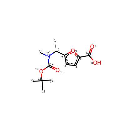 C[C@H](c1ccc(C(=O)O)o1)N(C)C(=O)OC(C)(C)C